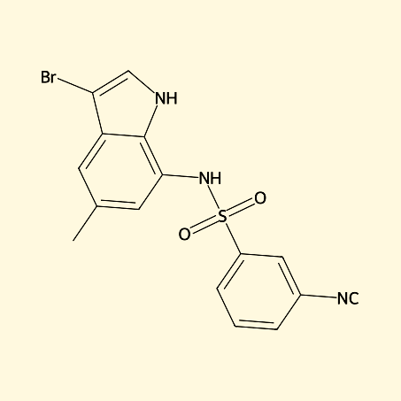 [C-]#[N+]c1cccc(S(=O)(=O)Nc2cc(C)cc3c(Br)c[nH]c23)c1